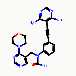 NC(=O)N(Cc1cncnc1N1CCOCC1)c1cccc(C#Cc2c(N)ncnc2N)c1